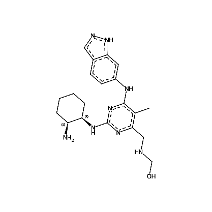 Cc1c(CNCO)nc(N[C@@H]2CCCC[C@@H]2N)nc1Nc1ccc2cn[nH]c2c1